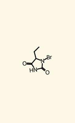 CCC1C(=O)NC(=O)N1Br